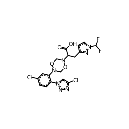 O=C(O)C(Cc1ccn(C(F)F)n1)N1CON(c2cc(Cl)ccc2-n2cc(Cl)nn2)CO1